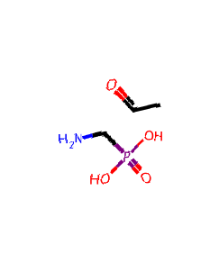 CC=O.NCP(=O)(O)O